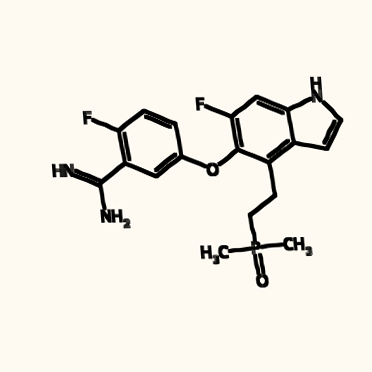 CP(C)(=O)CCc1c(Oc2ccc(F)c(C(=N)N)c2)c(F)cc2[nH]ccc12